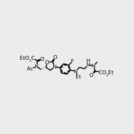 CCOC(=O)C(=O)N(C)NCCN(CC)c1ccc(N2C[C@H](CN(C(C)=O)C(=O)C(=O)OCC)OC2=O)cc1F